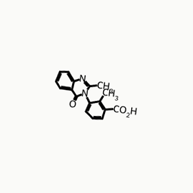 Cc1c(C(=O)O)cccc1-n1c(C)nc2ccccc2c1=O